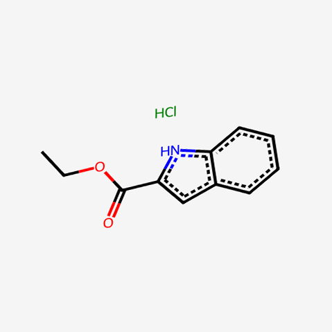 CCOC(=O)c1cc2ccccc2[nH]1.Cl